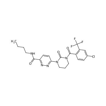 CCCCNC(=O)c1ccc(N2CCCN(C(=O)c3ccc(Cl)cc3C(F)(F)F)C2=O)nn1